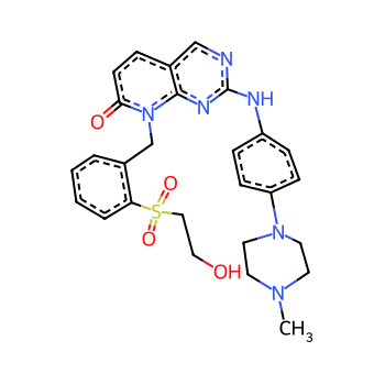 CN1CCN(c2ccc(Nc3ncc4ccc(=O)n(Cc5ccccc5S(=O)(=O)CCO)c4n3)cc2)CC1